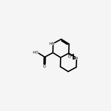 O=C(O)C1NC=CC23OCCN2CCCC13